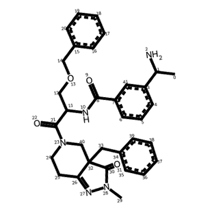 CC(N)c1cccc(C(=O)NC(COCc2ccccc2)C(=O)N2CCC3=NN(C)C(=O)C3(Cc3ccccc3)C2)c1